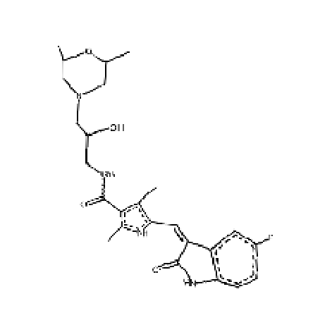 Cc1[nH]c(C=C2C(=O)Nc3ccc(F)cc32)c(C)c1C(=O)NCC(O)CN1CC(C)OC(C)C1